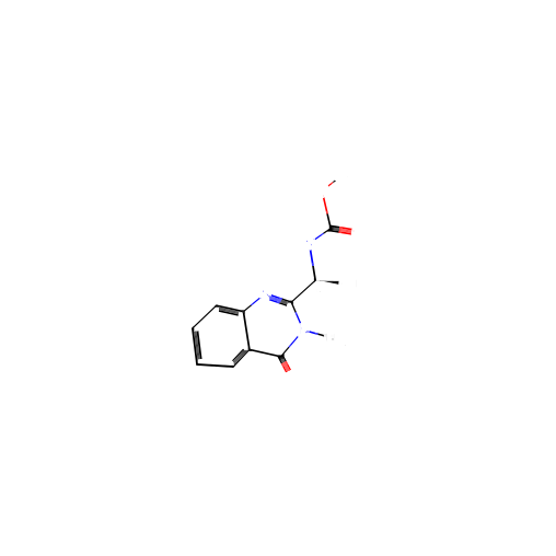 Bn1c([C@H](C)NC(=O)OC(C)(C)C)nc2ccccc2c1=O